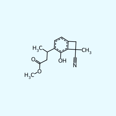 COC(=O)CC(C)c1ccc2c(c1O)C(C)(C#N)C2